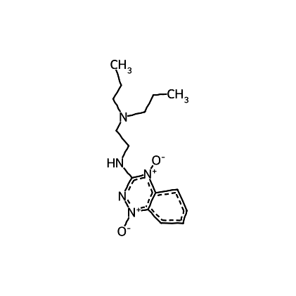 CCCN(CCC)CCNc1n[n+]([O-])c2ccccc2[n+]1[O-]